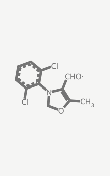 CC1=C([C]=O)N(c2c(Cl)cccc2Cl)CO1